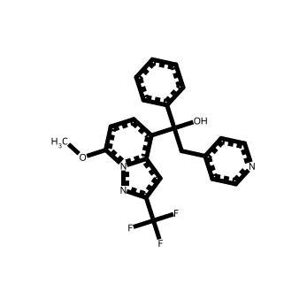 COc1ccc(C(O)(Cc2ccncc2)c2ccccc2)c2cc(C(F)(F)F)nn12